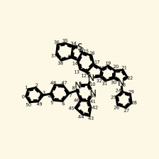 c1ccc(-c2ccc(-c3nc(-n4c5cc6c(cc5c5cc7ccn(-c8ccccc8)c7cc54)sc4ccccc46)nc4ccccc34)cc2)cc1